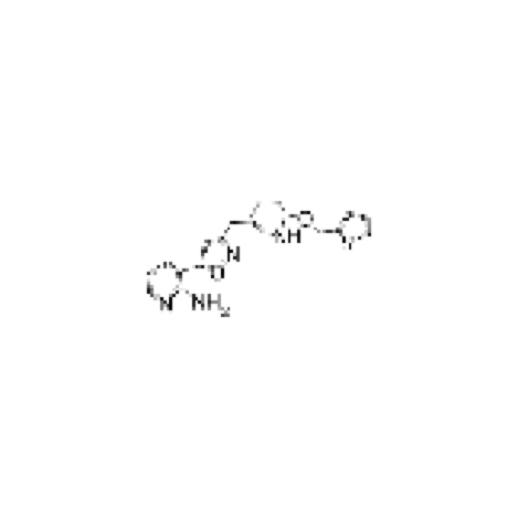 Nc1ncccc1-c1cc(CC2=CNC(OCc3cccs3)C=C2)no1